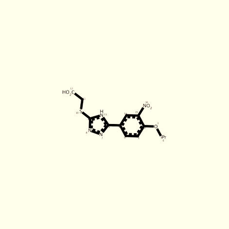 CC(C)Oc1ccc(-c2nnc(SCC(=O)O)[nH]2)cc1[N+](=O)[O-]